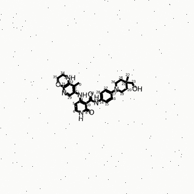 Cc1c(Nc2cc[nH]c(=O)c2C(=O)Nc2ccc(N3CCC(C)(CO)CC3)cc2)cnc2c1NCCO2